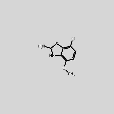 COc1ccc(Cl)c2c1NC(N)S2